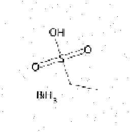 CCS(=O)(=O)O.[BiH3]